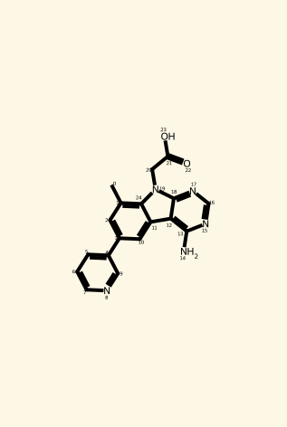 Cc1cc(-c2cccnc2)cc2c3c(N)ncnc3n(CC(=O)O)c12